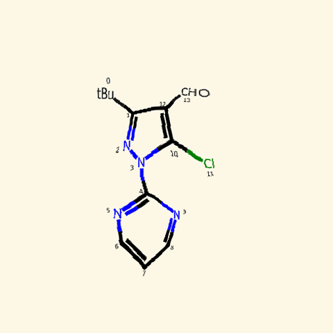 CC(C)(C)c1nn(-c2ncccn2)c(Cl)c1C=O